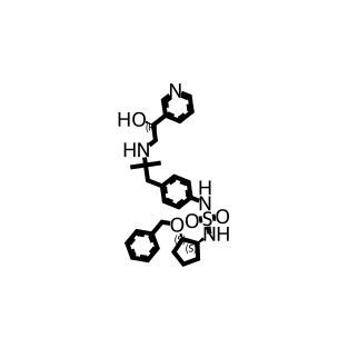 CC(C)(Cc1ccc(NS(=O)(=O)N[C@H]2CCC[C@@H]2OCc2ccccc2)cc1)NC[C@H](O)c1cccnc1